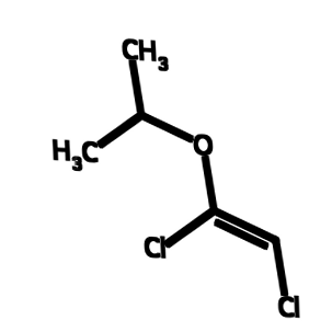 CC(C)OC(Cl)=CCl